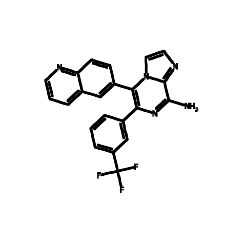 Nc1nc(-c2cccc(C(F)(F)F)c2)c(-c2ccc3ncccc3c2)n2ccnc12